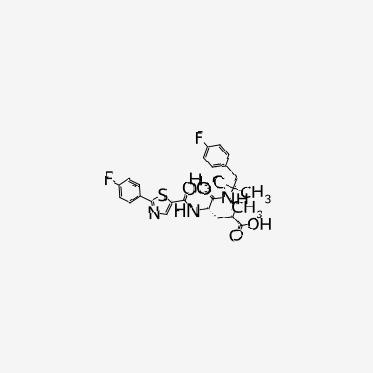 CC(C[C@H](NC(=O)c1cnc(-c2ccc(F)cc2)s1)C(=O)NC(C)(C)Cc1ccc(F)cc1)C(=O)O